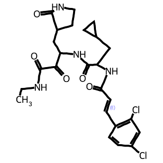 CCNC(=O)C(=O)C(CC1CCNC1=O)NC(=O)C(CC1CC1)NC(=O)/C=C/c1ccc(Cl)cc1Cl